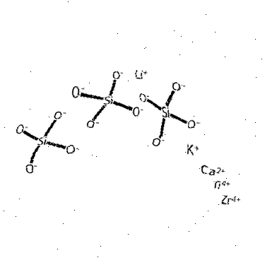 [Ca+2].[K+].[Li+].[O-][Si]([O-])([O-])[O-].[O-][Si]([O-])([O-])[O-].[O-][Si]([O-])([O-])[O-].[Ti+4].[Zr+4]